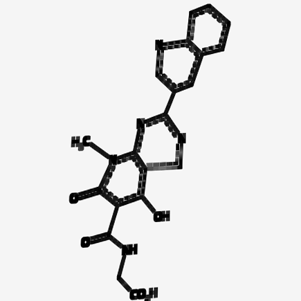 Cn1c(=O)c(C(=O)NCC(=O)O)c(O)c2cnc(-c3cnc4ccccc4c3)nc21